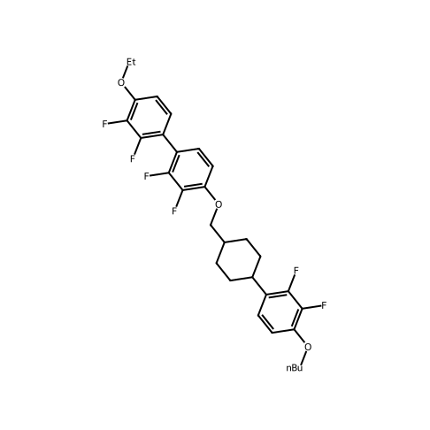 CCCCOc1ccc(C2CCC(COc3ccc(-c4ccc(OCC)c(F)c4F)c(F)c3F)CC2)c(F)c1F